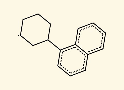 [CH]1CCCC(c2cccc3ccccc23)C1